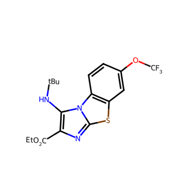 CCOC(=O)c1nc2sc3cc(OC(F)(F)F)ccc3n2c1NC(C)(C)C